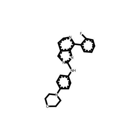 Fc1ccccc1-c1nccc2cnc(Nc3ccc(N4CCOCC4)cc3)nc12